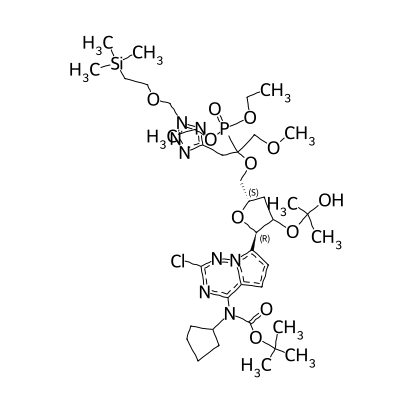 CCOP(=O)(OCC)C(COC)(Cc1nnn(COCC[Si](C)(C)C)n1)OC[C@@H]1CC(OC(C)(C)O)[C@@H](c2ccc3c(N(C(=O)OC(C)(C)C)C4CCCC4)nc(Cl)nn23)O1